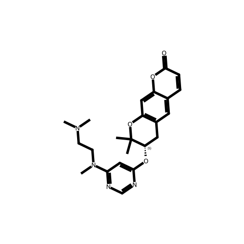 CN(C)CCN(C)c1cc(O[C@H]2Cc3cc4ccc(=O)oc4cc3OC2(C)C)ncn1